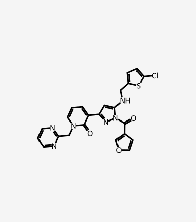 O=C(c1ccoc1)n1nc(-c2cccn(Cc3ncccn3)c2=O)cc1NCc1ccc(Cl)s1